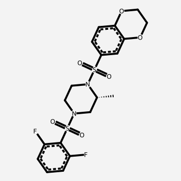 C[C@@H]1CN(S(=O)(=O)c2c(F)cccc2F)CCN1S(=O)(=O)c1ccc2c(c1)OCCO2